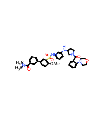 COc1ccc(-c2cccc(C(=O)N(C)C)c2)cc1S(=O)(=O)Nc1cccc(N[C@H]2CCN(C(=O)c3ccccc3N3CCOCC3)C2)c1